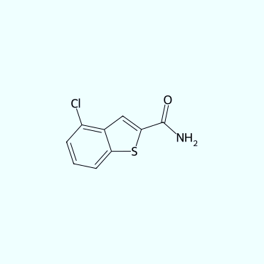 NC(=O)c1cc2c(Cl)cccc2s1